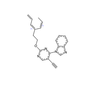 C#Cc1cnc(OCCC(/C=C\C)=C/C=C)nc1-n1cnc2ccccc21